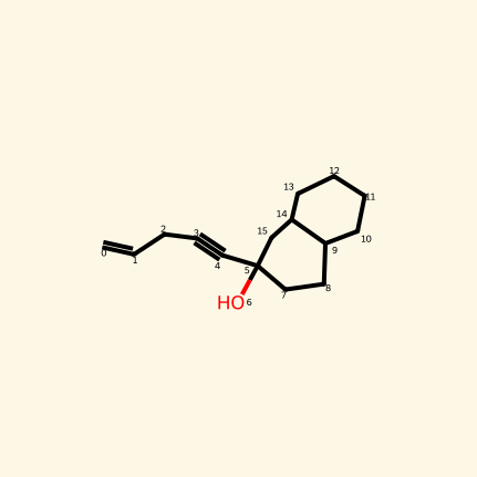 C=CCC#CC1(O)CCC2CCCCC2C1